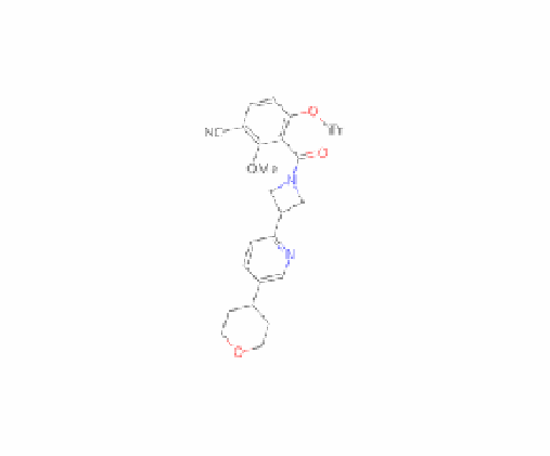 COc1c(C#N)ccc(OC(C)C)c1C(=O)N1CC(c2ccc(C3CCOCC3)cn2)C1